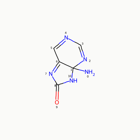 NC12N=CN=CC1=NC(=O)N2